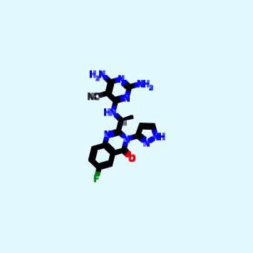 C[C@H](Nc1nc(N)nc(N)c1C#N)c1nc2ccc(F)cc2c(=O)n1-c1cc[nH]n1